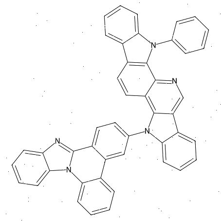 c1ccc(-n2c3ccccc3c3ccc4c(ncc5c6ccccc6n(-c6ccc7c(c6)c6ccccc6n6c8ccccc8nc76)c54)c32)cc1